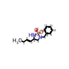 CC/C=C/C1CN(Cc2ccccc2)S(=O)(=O)N1